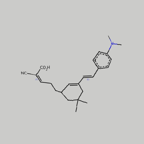 CN(C)c1ccc(/C=C/C2=CC(CC/C=C(/C#N)C(=O)O)CC(C)(C)C2)cc1